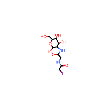 O=C(CI)NCC(=O)NC1C(O)OC(CO)C(O)C1O